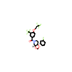 O=C(c1ccc(OCCC(F)(F)F)c(C(F)(F)F)c1)N1CC[C@@]2(c3cccc(F)c3)OCO[C@H]2C1